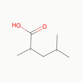 C[C](C)C[C](C)C(=O)O